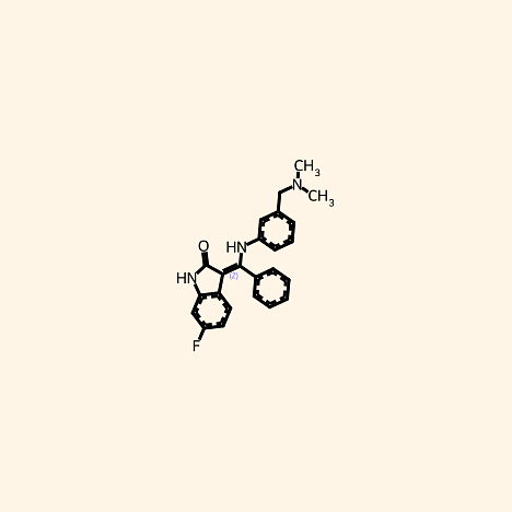 CN(C)Cc1cccc(N/C(=C2\C(=O)Nc3cc(F)ccc32)c2ccccc2)c1